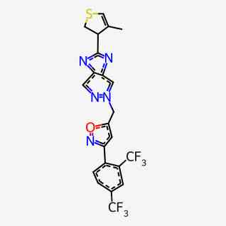 CC1=CSCC1c1nc2cnn(Cc3cc(-c4ccc(C(F)(F)F)cc4C(F)(F)F)no3)cc-2n1